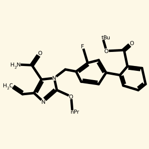 C=Cc1nc(OCCC)n(Cc2ccc(-c3ccccc3C(=O)OC(C)(C)C)cc2F)c1C(N)=O